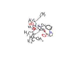 C=C(CCCC)CC(C)(O)C1(/C=C(/C)COC(=O)[C@@H]2CCCN2c2ccccc2)C(=O)C(C)[C@H]2C(C[C@H]1C)C2(C)C